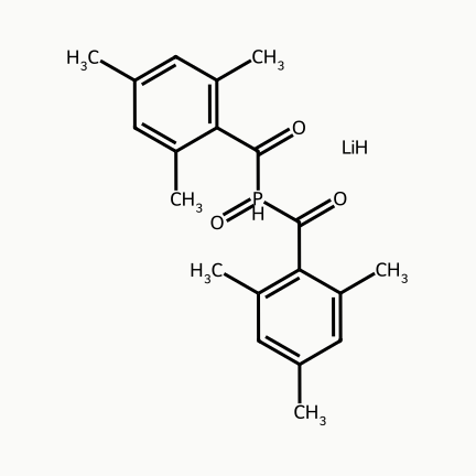 Cc1cc(C)c(C(=O)[PH](=O)C(=O)c2c(C)cc(C)cc2C)c(C)c1.[LiH]